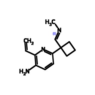 C=Cc1nc(C2(/C=N/C)CCC2)ccc1N